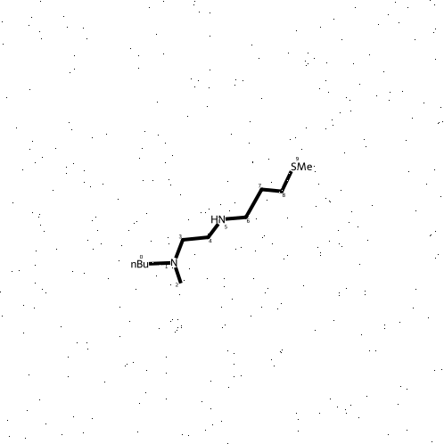 CCCCN(C)CCNCCCSC